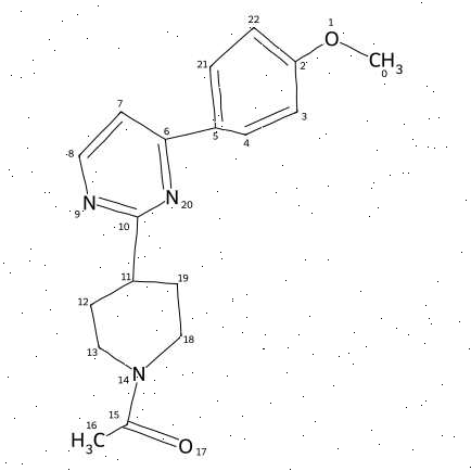 COc1ccc(-c2ccnc(C3CCN(C(C)=O)CC3)n2)cc1